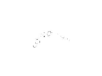 CCCCOc1ccc(S(=O)(=O)NCCc2nc3ccccc3[nH]2)cc1